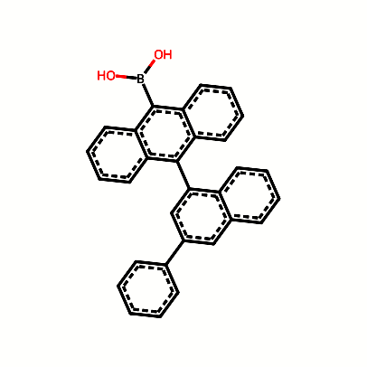 OB(O)c1c2ccccc2c(-c2cc(-c3ccccc3)cc3ccccc23)c2ccccc12